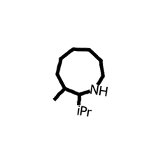 CC(C)C1NCCCCCCC1C